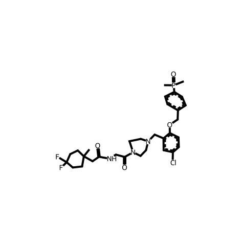 CC1(CC(=O)NCC(=O)N2CCN(Cc3cc(Cl)ccc3OCc3ccc(P(C)(C)=O)cc3)CC2)CCC(F)(F)CC1